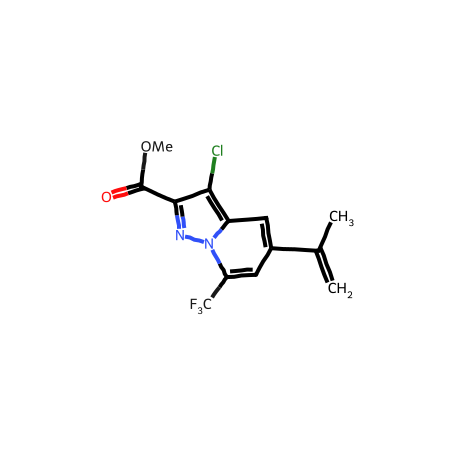 C=C(C)c1cc(C(F)(F)F)n2nc(C(=O)OC)c(Cl)c2c1